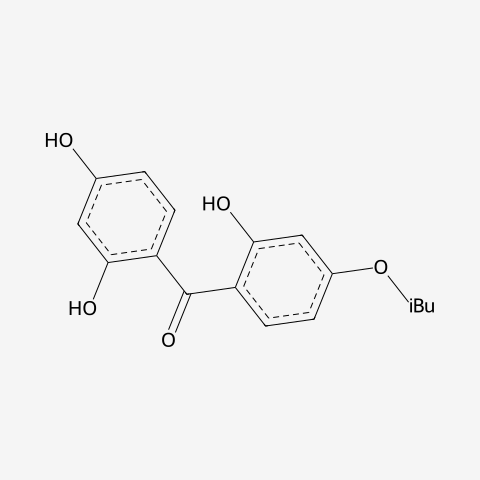 CCC(C)Oc1ccc(C(=O)c2ccc(O)cc2O)c(O)c1